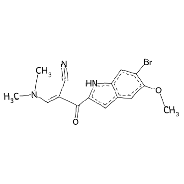 COc1cc2cc(C(=O)C(C#N)=CN(C)C)[nH]c2cc1Br